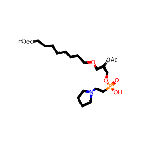 CCCCCCCCCCCCCCCCCCOCC(COP(=O)(O)CCN1CCCC1)OC(C)=O